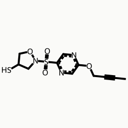 CC#CCOc1cnc(S(=O)(=O)N2CC(S)CO2)cn1